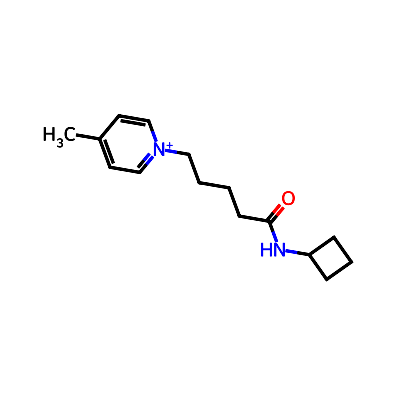 Cc1cc[n+](CCCCC(=O)NC2CCC2)cc1